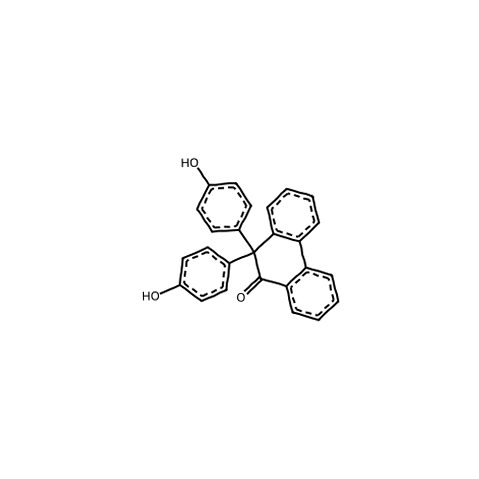 O=C1c2ccccc2-c2ccccc2C1(c1ccc(O)cc1)c1ccc(O)cc1